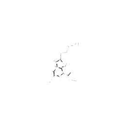 COC(=O)c1cc(Br)cc2cc(CCCO)[nH]c12